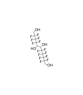 OCC(F)(F)C(F)(F)C(F)(F)C(O)C(O)C(F)(F)C(F)(F)C(F)(F)C(F)(F)CO